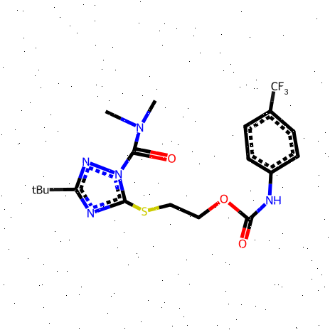 CN(C)C(=O)n1nc(C(C)(C)C)nc1SCCOC(=O)Nc1ccc(C(F)(F)F)cc1